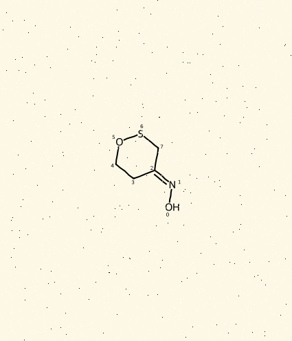 ON=C1CCOSC1